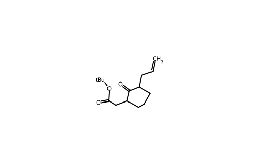 C=CCC1CCCC(CC(=O)OC(C)(C)C)C1=O